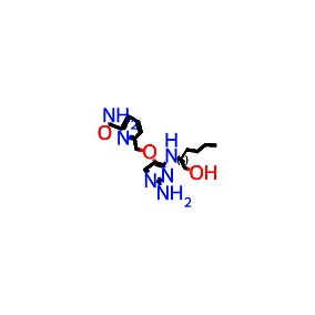 CCCC[C@@H](CO)Nc1nc(N)ncc1OCc1cccc(C(N)=O)n1